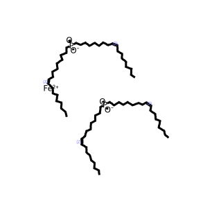 CCCCCCCC/C=C\CCCCCCCCP(=O)([O-])CCCCCCCC/C=C\CCCCCCCC.CCCCCCCC/C=C\CCCCCCCCP(=O)([O-])CCCCCCCC/C=C\CCCCCCCC.[Fe+2]